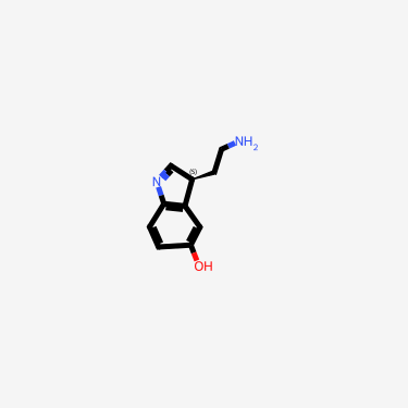 NCC[C@@H]1C=Nc2ccc(O)cc21